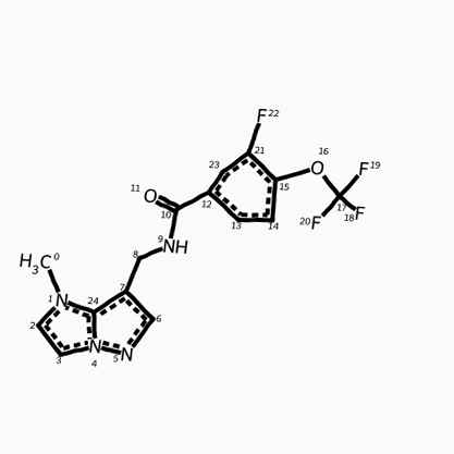 Cn1ccn2ncc(CNC(=O)c3ccc(OC(F)(F)F)c(F)c3)c12